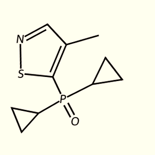 Cc1cnsc1P(=O)(C1CC1)C1CC1